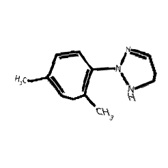 Cc1ccc(N2N=CCN2)c(C)c1